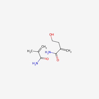 C=C(C)C(N)=O.C=C(CCO)C(N)=O